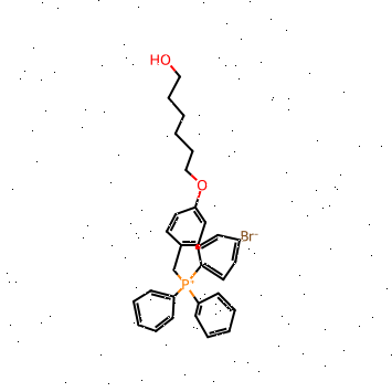 OCCCCCCOc1ccc(C[P+](c2ccccc2)(c2ccccc2)c2ccccc2)cc1.[Br-]